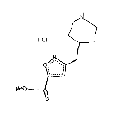 COC(=O)c1cc(CC2CCNCC2)no1.Cl